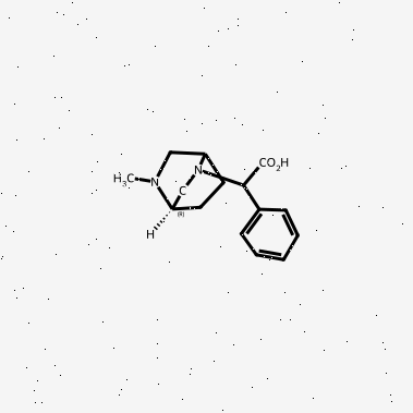 CN1CC2CC[C@@H]1CN2C(C(=O)O)c1ccccc1